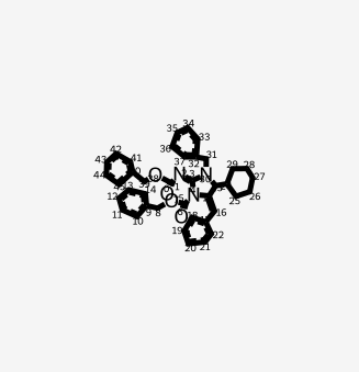 O=C(/N=C1\N(C(=O)OCc2ccccc2)/C(=C\c2ccccc2)C(C2CCCCC2)N1Cc1ccccc1)OCc1ccccc1